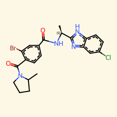 CC1CCCN1C(=O)c1ccc(C(=O)N[C@@H](C)c2nc3cc(Cl)ccc3[nH]2)cc1Br